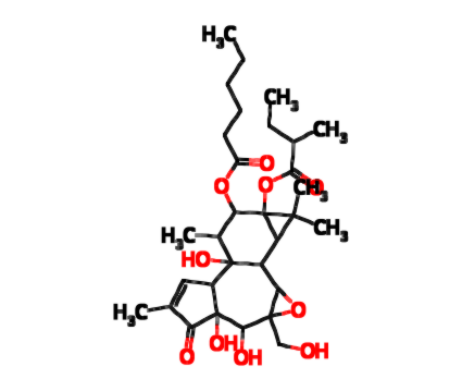 CCCCCC(=O)OC1C(C)C2(O)C(C3OC3(CO)C(O)C3(O)C(=O)C(C)=CC32)C2C(C)(C)C12OC(=O)C(C)CC